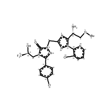 CC(C)(C)OC[C@@H](N)c1nc(Cn2nc(-c3ccc(Cl)cc3)n(C[C@H](O)C(F)(F)F)c2=O)nn1-c1ncccc1Cl